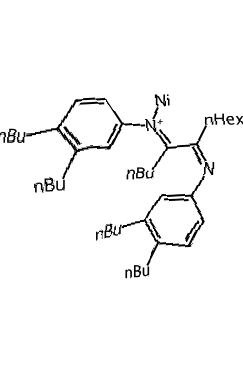 CCCCCCC(=Nc1ccc(CCCC)c(CCCC)c1)C(CCCC)=[N+]([Ni])c1ccc(CCCC)c(CCCC)c1